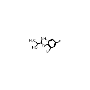 CC(O)C(N)Oc1ccc(F)cc1Br